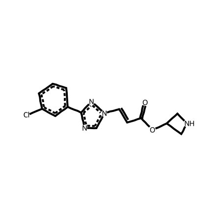 O=C(C=Cn1cnc(-c2cccc(Cl)c2)n1)OC1CNC1